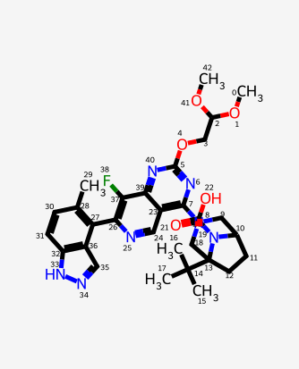 COC(COc1nc(N2CC3CCC(C(C)(C)C)(C2)N3C(=O)O)c2cnc(-c3c(C)ccc4[nH]ncc34)c(F)c2n1)OC